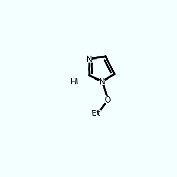 CCOn1ccnc1.I